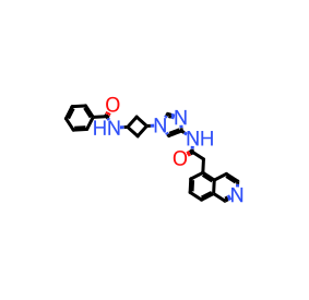 O=C(Cc1cccc2cnccc12)Nc1cn(C2CC(NC(=O)c3ccccc3)C2)cn1